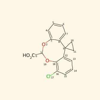 O=C(O)C1Oc2ccccc2C2(CC2)c2cccc(Cl)c2O1